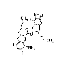 CCCCCC(Cc1c(I)cc(I)c(N)c1I)OC(=O)OC(CCCCC)Cc1c(I)cc(I)c(N)c1I